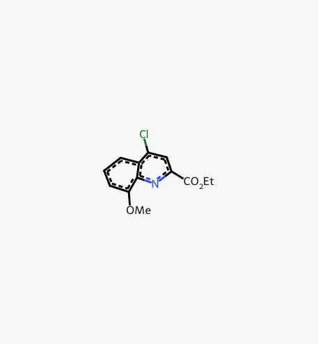 CCOC(=O)c1cc(Cl)c2cccc(OC)c2n1